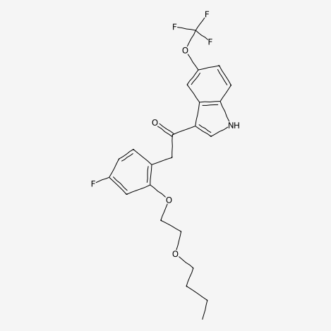 CCCCOCCOc1cc(F)ccc1CC(=O)c1c[nH]c2ccc(OC(F)(F)F)cc12